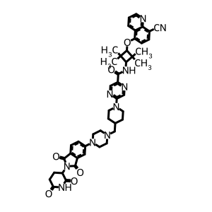 CC1(C)C(NC(=O)c2cnc(N3CCC(CN4CCN(c5ccc6c(c5)C(=O)N(C5CCC(=O)NC5=O)C6=O)CC4)CC3)cn2)C(C)(C)C1Oc1ccc(C#N)c2ncccc12